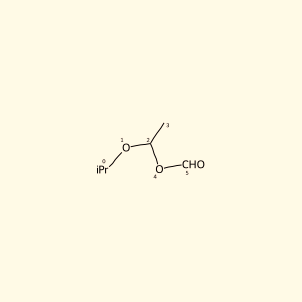 CC(C)OC(C)OC=O